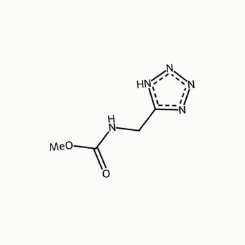 COC(=O)NCc1nnn[nH]1